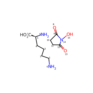 NCCCC[C@H](N)C(=O)O.O=C1CCC(=O)N1O